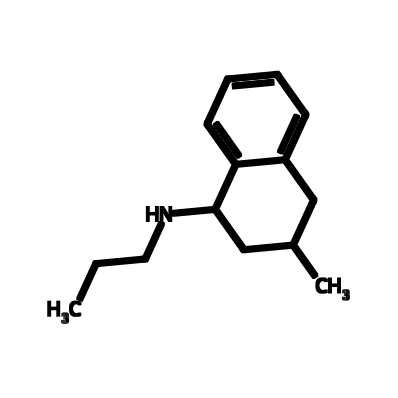 CCCNC1CC(C)Cc2ccccc21